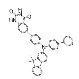 CC1(C)c2ccccc2-c2ccc(N(c3ccc(-c4ccccc4)cc3)c3ccc(-c4ccc5[nH]c(=O)[nH]c(=O)c5c4)cc3)cc21